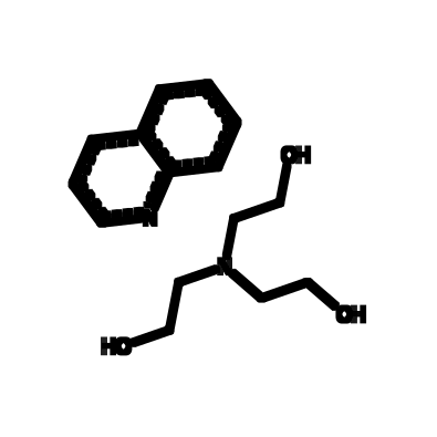 OCCN(CCO)CCO.c1ccc2ncccc2c1